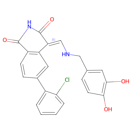 O=C1NC(=O)c2ccc(-c3ccccc3Cl)cc2/C1=C\NCc1ccc(O)c(O)c1